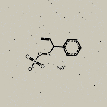 C=CC(SOS(=O)(=O)[O-])c1ccccc1.[Na+]